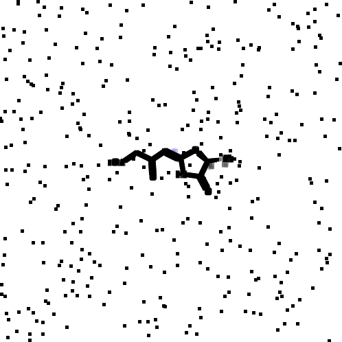 CCCCCCCCCC(=O)/C=C1\NC(=O)[C@H]([C@@H](C)CC)O1